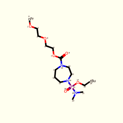 CCCOCCOCCOC(=O)N1CCCN(P(=O)(OCC(C)(C)C)N(C)C)CC1